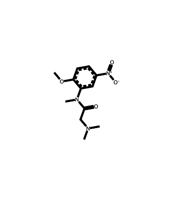 COc1ccc([N+](=O)[O-])cc1N(C)C(=O)CN(C)C